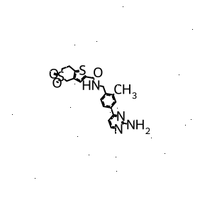 Cc1cc(-c2ccnc(N)n2)ccc1CNC(=O)c1cc2c(s1)CCS(=O)(=O)C2